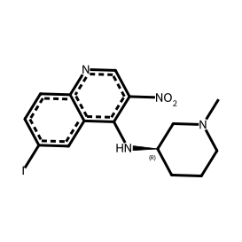 CN1CCC[C@@H](Nc2c([N+](=O)[O-])cnc3ccc(I)cc23)C1